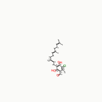 CC(C)=CCC/C(C)=C/CC/C(C)=C/Cc1c(O)c(Cl)c(C)c(C=O)c1O